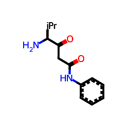 CC(C)C(N)C(=O)CC(=O)Nc1ccccc1